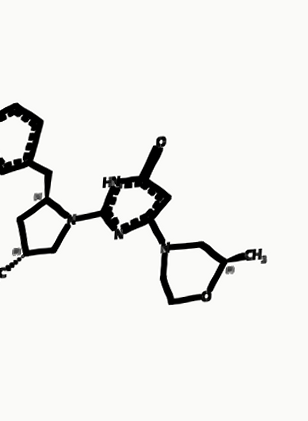 C[C@@H]1C[C@@H](Cc2ccccc2)N(c2nc(N3CCO[C@H](C)C3)cc(=O)[nH]2)C1